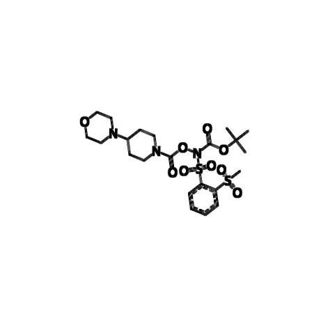 CC(C)(C)OC(=O)N(OC(=O)N1CCC(N2CCOCC2)CC1)S(=O)(=O)c1ccccc1S(C)(=O)=O